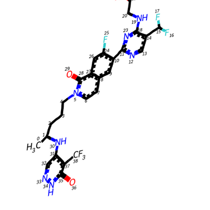 CC(CCCn1ccc2cc(-c3ncc(C(F)F)c(NCCO)n3)c(F)cc2c1=O)Nc1cn[nH]c(=O)c1C(F)(F)F